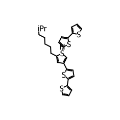 CC(C)CCCCCC1=CC(c2ccc(-c3cccs3)s2)=C[SH]1c1ccc(-c2cccs2)s1